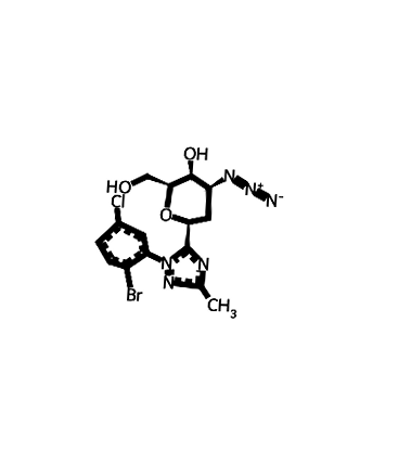 Cc1nc([C@@H]2C[C@H](N=[N+]=[N-])[C@H](O)[C@H](CO)O2)n(-c2cc(Cl)ccc2Br)n1